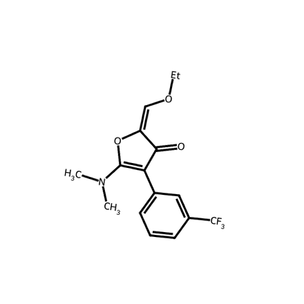 CCOC=C1OC(N(C)C)=C(c2cccc(C(F)(F)F)c2)C1=O